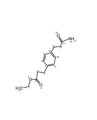 CCOC(=O)CCc1ccc(CCC(N)=O)cc1